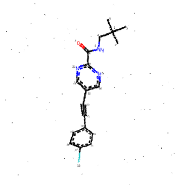 CC(C)(C)CNC(=O)c1ncc(C#Cc2ccc(F)cc2)cn1